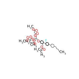 C=C(C)C(=O)OCc1cc(OCC(COC(=O)CC(=O)OCC)(COC(=O)CC(=O)OCC)COC(=O)C(=C)C)ccc1-c1ccc(C2CCC(CCCCC)CC2)cc1F